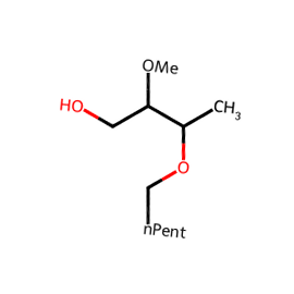 CCCCCCOC(C)C(CO)OC